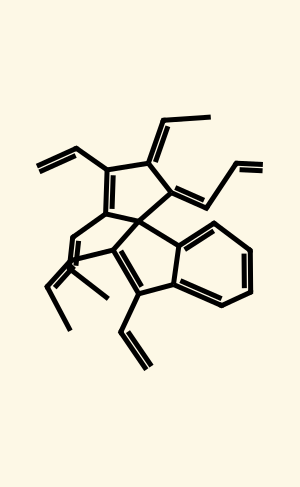 C=C/C=C1\C(=C/C)C(C=C)=C(/C=C\C)C12C(/C=C\C)=C(C=C)c1ccccc12